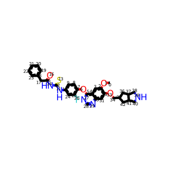 COc1cc2c(Oc3ccc(NC(=S)NC(=O)Cc4ccccc4)cc3F)ncnc2cc1OCC1CC2CNCC2C1